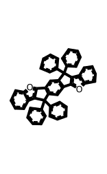 c1ccc(C2(c3ccccc3)c3cc4c(cc3-c3oc5ccccc5c32)C(c2ccccc2)(c2ccccc2)c2c-4oc3ccccc23)cc1